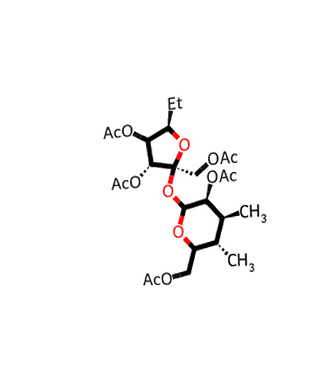 CC[C@H]1O[C@@](COC(C)=O)(OC2OC(COC(C)=O)[C@@H](C)[C@H](C)[C@@H]2OC(C)=O)[C@H](OC(C)=O)C1OC(C)=O